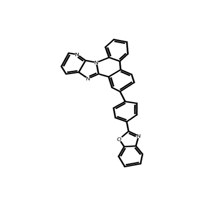 c1ccc2oc(-c3ccc(-c4ccc5c6ccccc6n6c7ncccc7nc6c5c4)cc3)nc2c1